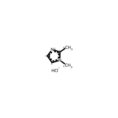 Cc1nccn1C.Cl